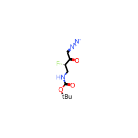 CC(C)(C)OC(=O)NC[C@H](F)C(=O)C=[N+]=[N-]